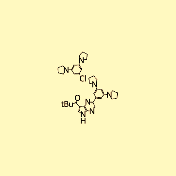 CC(C)(C)C(=O)c1c[nH]c2ncc(-c3cc(N4CCCC4)cc(N4CCCC4)c3)nc12.Clc1cc(N2CCCC2)cc(N2CCCC2)c1